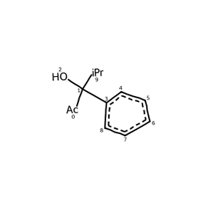 CC(=O)C(O)(c1ccccc1)C(C)C